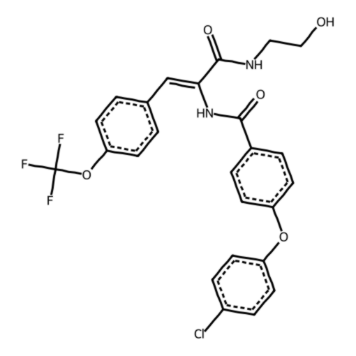 O=C(NCCO)C(=Cc1ccc(OC(F)(F)F)cc1)NC(=O)c1ccc(Oc2ccc(Cl)cc2)cc1